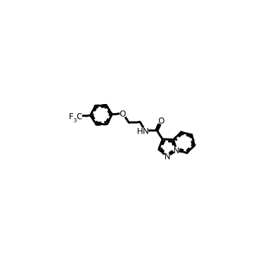 O=C(NCCOc1ccc(C(F)(F)F)cc1)c1cnn2ccccc12